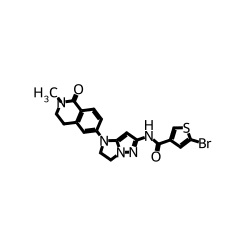 CN1CCc2cc(N3CCn4nc(NC(=O)c5csc(Br)c5)cc43)ccc2C1=O